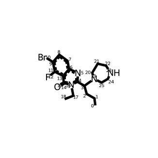 CCCC(c1nc2ccc(Br)c(F)c2c(=O)n1CC)N1CCCNCC1